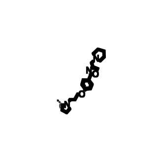 C[C@H]1CCCN1CCCOc1ccc(-c2nc(CN3CCCCC3)co2)cc1